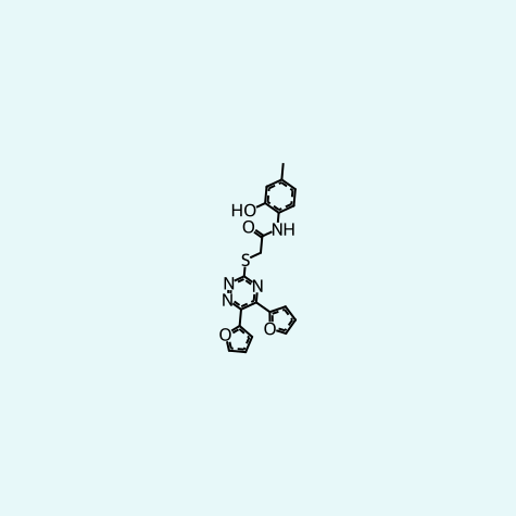 Cc1ccc(NC(=O)CSc2nnc(-c3ccco3)c(-c3ccco3)n2)c(O)c1